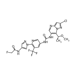 CO[C@@H](C)c1c(NC(=O)Nc2cnc(-n3cc(NC(=O)CF)cn3)c(C(F)(F)F)c2)cnc2cc(Cl)nn12